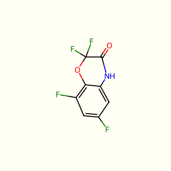 O=C1Nc2cc(F)cc(F)c2OC1(F)F